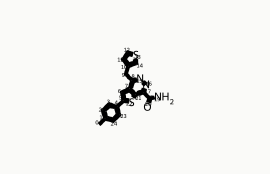 Cc1ccc(-c2cc3c(Cc4ccsc4)nnc(C(N)=O)c3s2)cc1